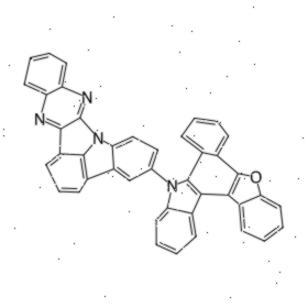 c1ccc2nc3c(nc2c1)c1cccc2c4cc(-n5c6ccccc6c6c7c8ccccc8oc7c7ccccc7c65)ccc4n3c21